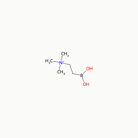 C[N+](C)(C)CCB(O)O